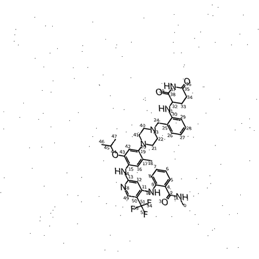 CNC(=O)c1ccccc1Nc1cc(Nc2cc(C)c(N3CCN(Cc4ccccc4NC4CCC(=O)NC4=O)CC3)cc2OC(C)C)ncc1C(F)(F)F